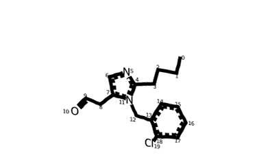 CCCCc1ncc(CC=O)n1Cc1ccccc1Cl